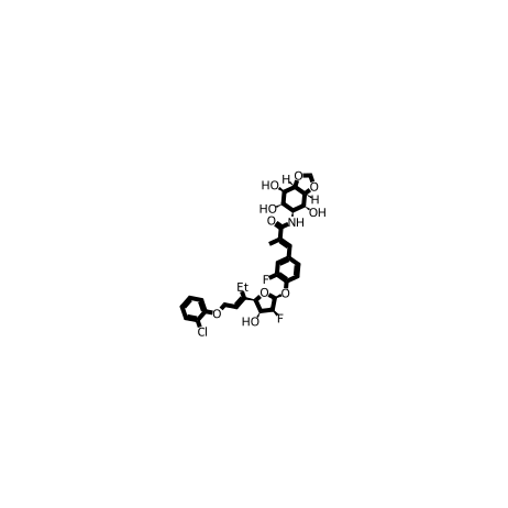 CCC(=CCOc1ccccc1Cl)[C@H]1O[C@@H](Oc2ccc(C=C(C)C(=O)N[C@@H]3[C@H](O)[C@@H](O)[C@H]4OCO[C@H]4[C@@H]3O)cc2F)[C@@H](F)[C@@H]1O